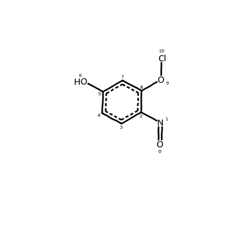 O=Nc1ccc(O)cc1OCl